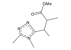 COC(=O)C(C)C(C)c1nnc(C)n1C